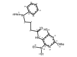 CCCCCCN(CCCC(=O)Nc1c(S)nc(OC)nc1N(CC)CC)c1ccccc1